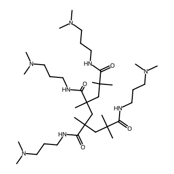 CN(C)CCCNC(=O)C(C)(C)CC(C)(CC(C)(CC(C)(C)C(=O)NCCCN(C)C)C(=O)NCCCN(C)C)C(=O)NCCCN(C)C